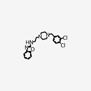 Clc1ccc(CN2CCN(CCNc3nc4ccccc4o3)CC2)cc1Cl